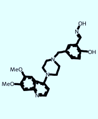 COc1cc2nccc(N3CCN(Cc4ccc(O)c(C=NO)c4)CC3)c2cc1OC